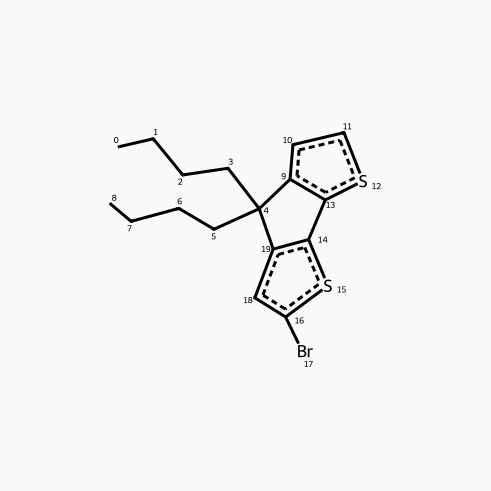 CCCCC1(CCCC)c2ccsc2-c2sc(Br)cc21